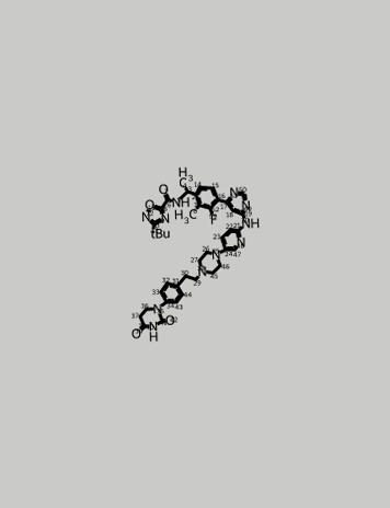 Cc1c(C(C)NC(=O)c2nc(C(C)(C)C)no2)ccc(-c2cc(Nc3ccc(N4CCN(CCc5ccc(N6CCC(=O)NC6=O)cc5)CC4)cn3)ncn2)c1F